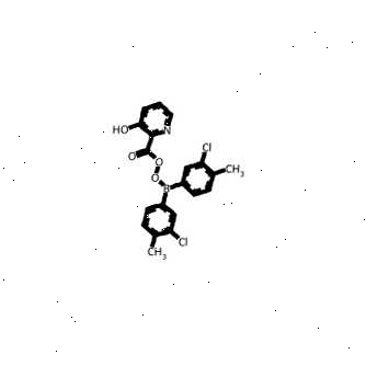 Cc1ccc(B(OOC(=O)c2ncccc2O)c2ccc(C)c(Cl)c2)cc1Cl